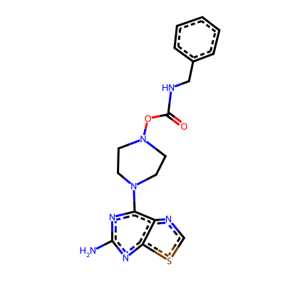 Nc1nc(N2CCN(OC(=O)NCc3ccccc3)CC2)c2ncsc2n1